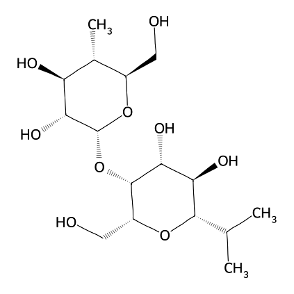 CC(C)[C@@H]1O[C@H](CO)[C@H](O[C@H]2O[C@H](CO)[C@@H](C)[C@H](O)[C@H]2O)[C@H](O)[C@H]1O